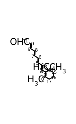 CC1=C(C=CC=CC=CC=CC=O)C(C)(C)CCC1